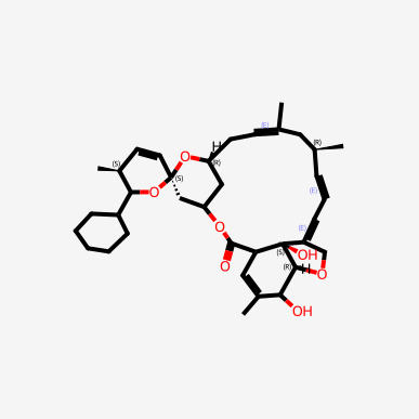 CC1=CC2C(=O)OC3C[C@@H](C/C=C(\C)C[C@@H](C)/C=C/C=C4\CO[C@H](C1O)[C@@]42O)O[C@@]1(C=C[C@H](C)C(C2CCCCC2)O1)C3